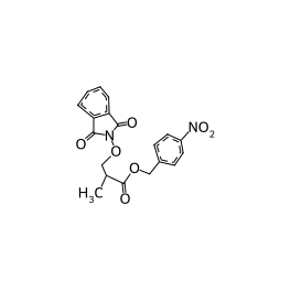 CC(CON1C(=O)c2ccccc2C1=O)C(=O)OCc1ccc([N+](=O)[O-])cc1